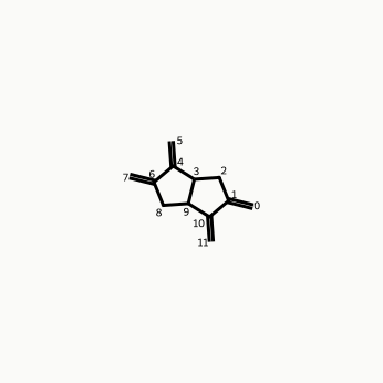 C=C1CC2C(=C)C(=C)CC2C1=C